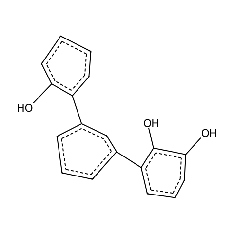 Oc1ccccc1-c1cccc(-c2cccc(O)c2O)c1